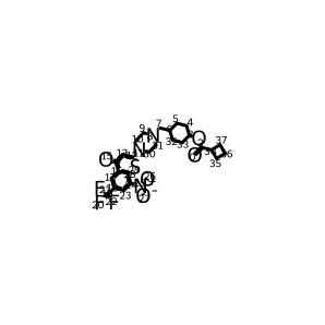 O=C(OC1CCC(CN2CCN(c3cc(=O)c4cc(C(F)(F)F)cc([N+](=O)[O-])c4s3)CC2)CC1)C1CCC1